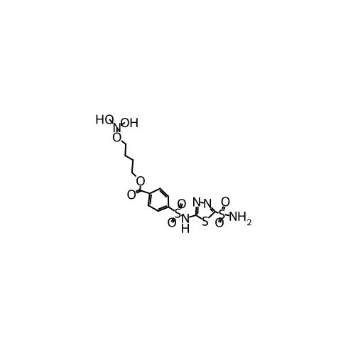 NS(=O)(=O)c1nnc(NS(=O)(=O)c2ccc(C(=O)OCCCCON(O)O)cc2)s1